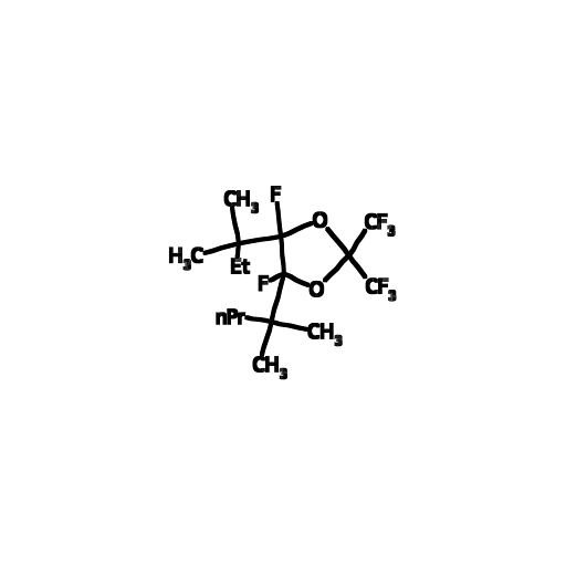 CCCC(C)(C)C1(F)OC(C(F)(F)F)(C(F)(F)F)OC1(F)C(C)(C)CC